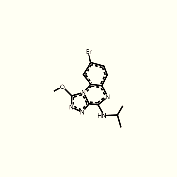 COc1nnc2c(NC(C)C)nc3ccc(Br)cc3n12